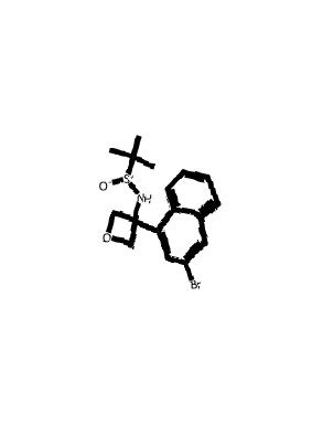 CC(C)(C)[S+]([O-])NC1(c2cc(Br)cc3ccccc23)COC1